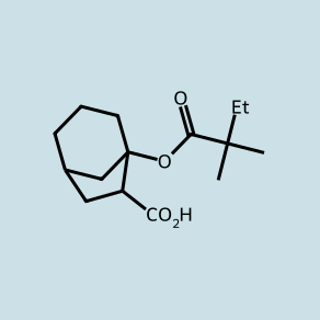 CCC(C)(C)C(=O)OC12CCCC(CC1C(=O)O)C2